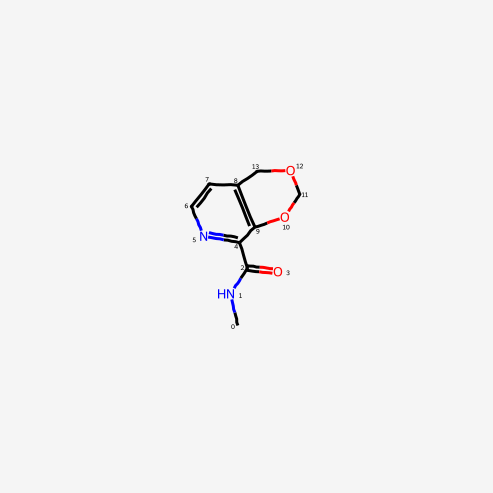 CNC(=O)c1nccc2c1OCOC2